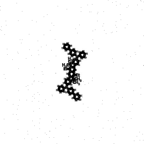 CCc1c2c(cc3c(CC)c4c(cc13)-c1ccc(N(c3ccccc3)c3ccc(-c5ccccc5)cc3)cc1C4(C)C)-c1ccc(N(c3ccccc3)c3ccc(-c4ccccc4)cc3)cc1C2(C)C